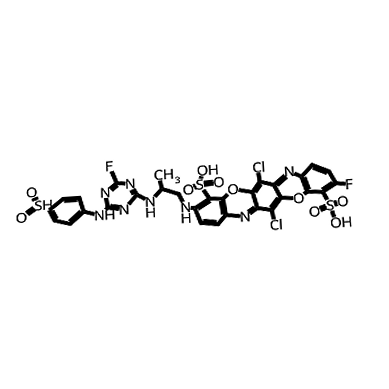 CC(CNc1ccc2c(c1S(=O)(=O)O)Oc1c(Cl)c3c(c(Cl)c1=N2)Oc1c(ccc(F)c1S(=O)(=O)O)N=3)Nc1nc(F)nc(Nc2ccc([SH](=O)=O)cc2)n1